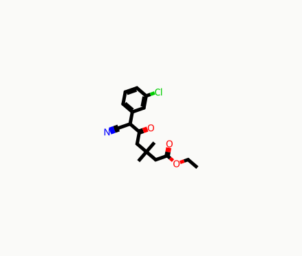 CCOC(=O)CC(C)(C)CC(=O)C(C#N)c1cccc(Cl)c1